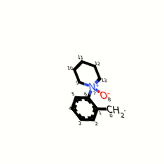 [CH2]c1ccccc1[N+]1([O-])CCCCC1